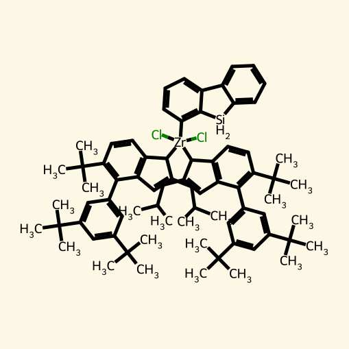 CC(C)CC1=Cc2c(ccc(C(C)(C)C)c2-c2cc(C(C)(C)C)cc(C(C)(C)C)c2)[CH]1[Zr]([Cl])([Cl])([c]1cccc2c1[SiH2]c1ccccc1-2)[CH]1C(CC(C)C)=Cc2c1ccc(C(C)(C)C)c2-c1cc(C(C)(C)C)cc(C(C)(C)C)c1